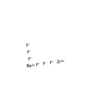 [Be+2].[F-].[F-].[F-].[F-].[F-].[F-].[Zr+4]